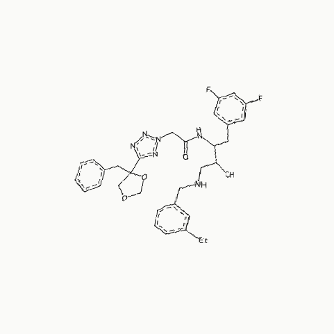 CCc1cccc(CNCC(O)C(Cc2cc(F)cc(F)c2)NC(=O)Cn2nnc(C3(Cc4ccccc4)COCO3)n2)c1